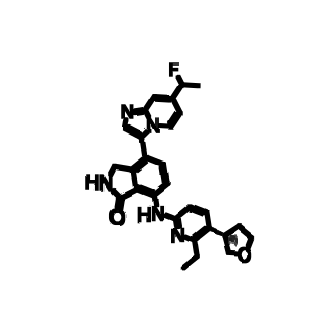 CCc1nc(Nc2ccc(-c3cnc4cc(C(C)F)ccn34)c3c2C(=O)NC3)ccc1[C@H]1CCOC1